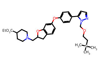 CCOC(=O)C1CCN(CC2Cc3ccc(Oc4ccc(-c5ccnn5COCC[Si](C)(C)C)cc4)cc3O2)CC1